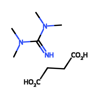 CN(C)C(=N)N(C)C.O=C(O)CCC(=O)O